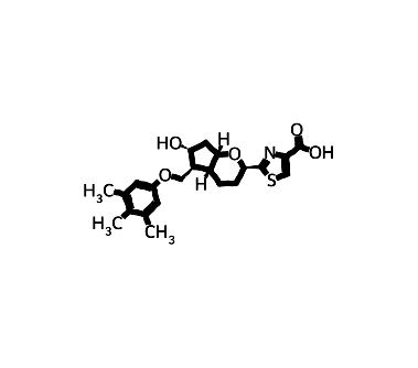 Cc1cc(OC[C@@H]2[C@H]3CC[C@H](c4nc(C(=O)O)cs4)O[C@H]3C[C@H]2O)cc(C)c1C